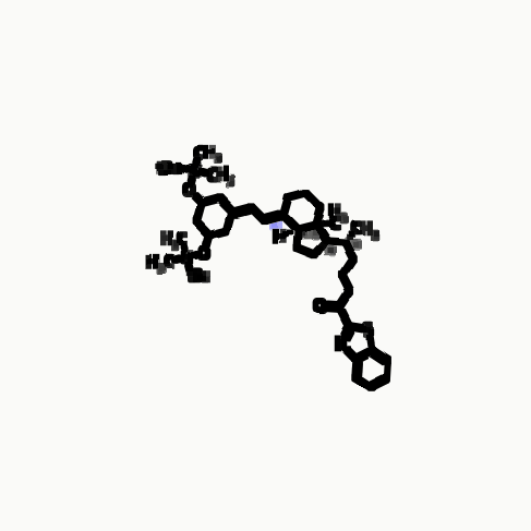 C[C@H](CCCC(=O)c1nc2ccccc2s1)[C@H]1CC[C@H]2/C(=C/C=C3CC(O[Si](C)(C)C(C)(C)C)CC(O[Si](C)(C)C(C)(C)C)C3)CCC[C@]12C